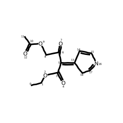 CCOC(=O)C(C(=O)COC(C)=O)=C1C=CN=CC1